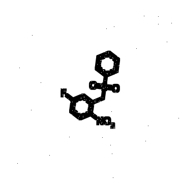 O=[N+]([O-])c1ccc(F)cc1CS(=O)(=O)c1ccccc1